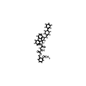 COc1ccccc1COC(=O)NCC(=O)NCC(CCCN1CCC(c2ccccc2)CC1)(c1ccccc1)c1ccccc1